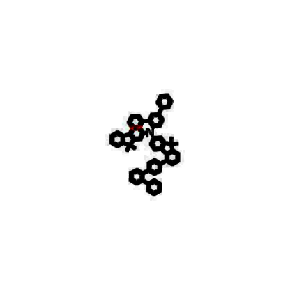 CC1(C)c2ccccc2-c2ccc(N(c3ccc4c(c3)C(C)(C)c3cccc(-c5ccc(-c6ccccc6-c6ccccc6)cc5)c3-4)c3ccc(-c4ccccc4)cc3-c3ccccc3)cc21